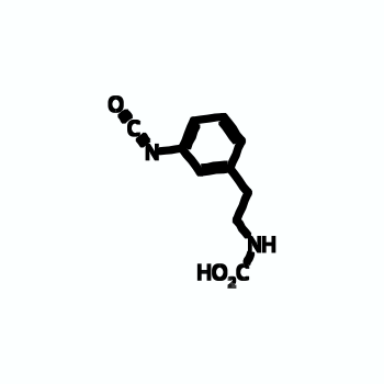 O=C=Nc1cccc(CCNC(=O)O)c1